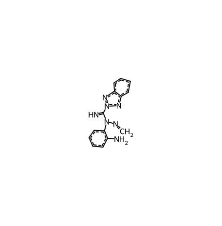 C=NN(C(=N)n1nc2ccccc2n1)c1ccccc1N